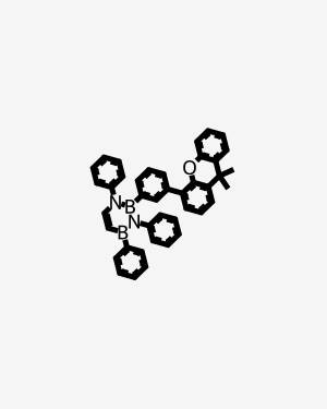 CC1(C)c2ccccc2Oc2c(-c3cccc(B4N(c5ccccc5)C=CB(c5ccccc5)N4c4ccccc4)c3)cccc21